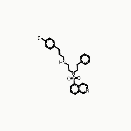 O=S(=O)(c1cccc2cnccc12)N(CCNCC=Cc1ccc(Cl)cc1)CCc1ccccc1